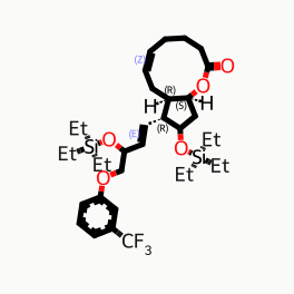 CC[Si](CC)(CC)OC(/C=C/[C@H]1C(O[Si](CC)(CC)CC)C[C@@H]2OC(=O)CCC/C=C\C[C@@H]21)COc1cccc(C(F)(F)F)c1